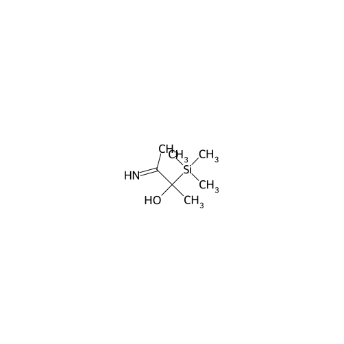 CC(=N)C(C)(O)[Si](C)(C)C